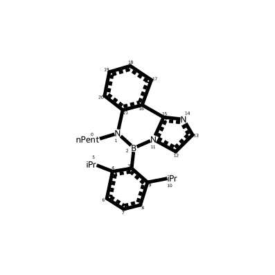 CCCCCN1B(c2c(C(C)C)cccc2C(C)C)n2ccnc2-c2ccccc21